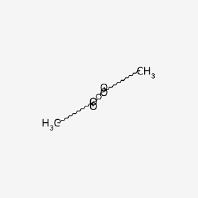 CCCCCCCCC=CCCCCCCCC(=O)OCC1CCC(COC(=O)CCCCCCCC=CCCCCCCCC)CC1